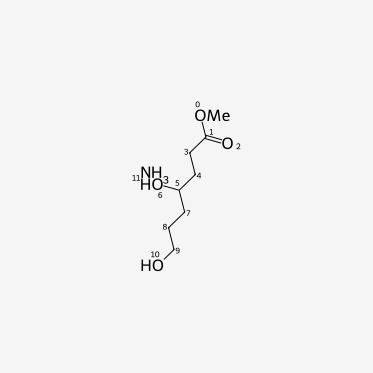 COC(=O)CCC(O)CCCO.N